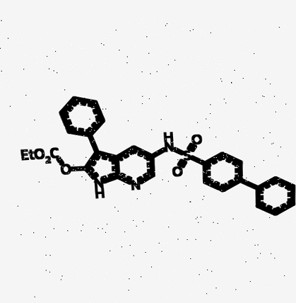 CCOC(=O)Oc1[nH]c2ncc(NS(=O)(=O)c3ccc(-c4ccccc4)cc3)cc2c1-c1ccccc1